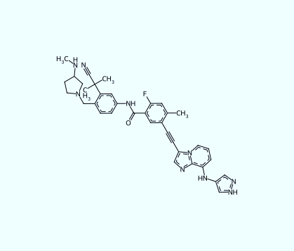 CNC1CCN(Cc2ccc(NC(=O)c3cc(C#Cc4cnc5c(Nc6cn[nH]c6)cccn45)c(C)cc3F)cc2C(C)(C)C#N)C1